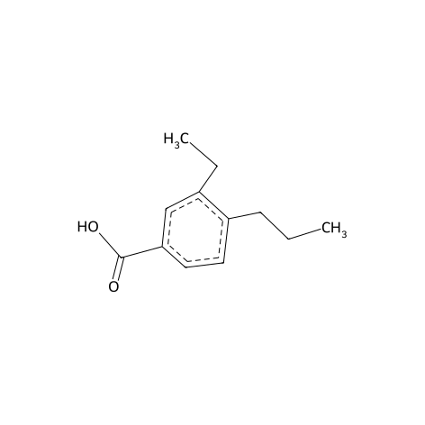 CCCc1ccc(C(=O)O)cc1CC